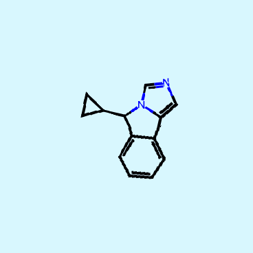 c1ccc2c(c1)-c1cncn1C2C1CC1